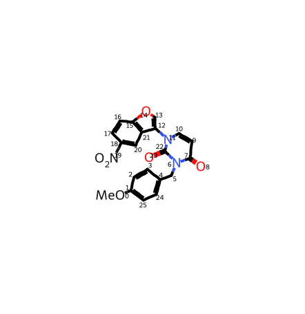 COc1ccc(Cn2c(=O)ccn(-c3coc4ccc([N+](=O)[O-])cc34)c2=O)cc1